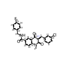 CN1C(=O)/C(=C\c2cccc(Cl)c2)C(=O)c2cc(C(=O)NCc3ccc(F)cc3)ccc21